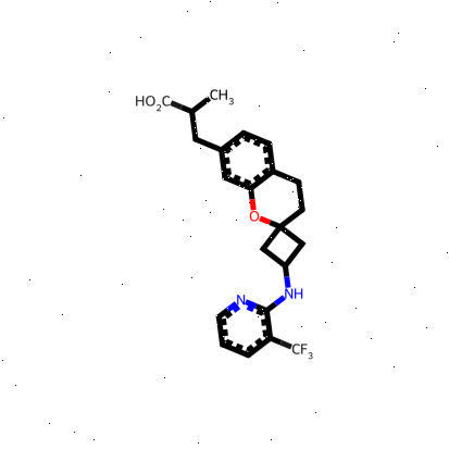 CC(Cc1ccc2c(c1)OC1(CC2)CC(Nc2ncccc2C(F)(F)F)C1)C(=O)O